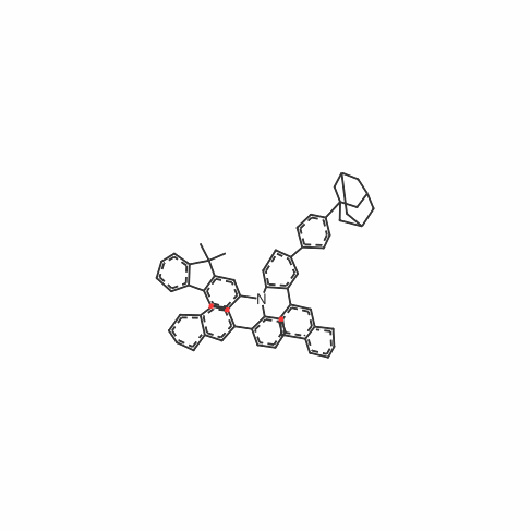 CC1(C)c2ccccc2-c2ccc(N(c3ccccc3-c3ccc4ccccc4c3)c3ccc(-c4ccc(C56CC7CC(CC(C7)C5)C6)cc4)cc3-c3ccc4ccccc4c3)cc21